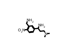 CN(C)CCC(N)c1ccc([N+](=O)[O-])c(CN)c1